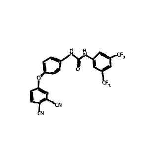 N#Cc1ccc(Oc2ccc(NC(=O)Nc3cc(C(F)(F)F)cc(C(F)(F)F)c3)cc2)cc1C#N